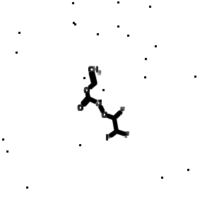 C=COC(=O)OOC(F)C(F)F